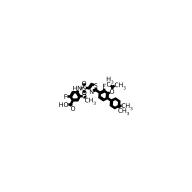 COc1cc(C(=O)O)c(F)cc1NS(=O)(=O)c1csc(-c2ccc(C3=CCC(C)(C)CC3)c(OC(C)C)c2F)n1